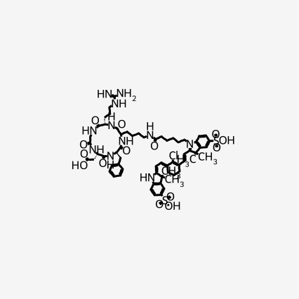 CC1(C)C(/C=C/C2=C(Cl)C(=C/C=C3/Nc4ccc(S(=O)(=O)O)cc4C3(C)C)/CCC2)=[N+](CCCCCC(=O)NCCCCC2NC(=O)[C@@H](Cc3ccccc3)NC(=O)[C@H](CC(=O)O)NC(=O)CNC(=O)[C@H](CCCNC(=N)N)NC2=O)c2ccc(S(=O)(=O)O)cc21